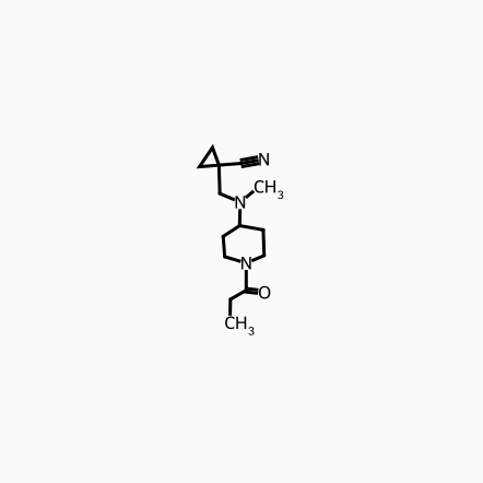 CCC(=O)N1CCC(N(C)CC2(C#N)CC2)CC1